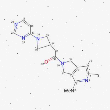 CNc1nc(C)c(C)c2c1CN(C(=O)CC1CN(c3ccncn3)C1)C2